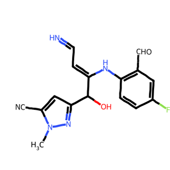 Cn1nc(C(O)/C(=C/C=N)Nc2ccc(F)cc2C=O)cc1C#N